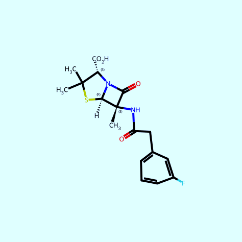 CC1(C)S[C@H]2N(C(=O)[C@]2(C)NC(=O)Cc2cccc(F)c2)[C@H]1C(=O)O